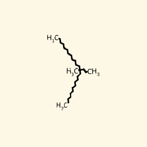 CCCCCCCCCCCCC(C)(CCC)CCCCCCCCCCCC